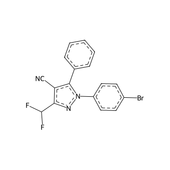 N#Cc1c(C(F)F)nn(-c2ccc(Br)cc2)c1-c1ccccc1